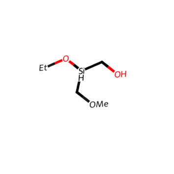 CCO[SiH](CO)COC